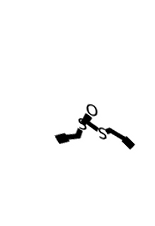 C#CCSC(=O)SCC#C